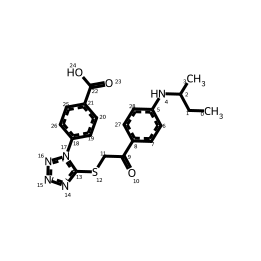 CCC(C)Nc1ccc(C(=O)CSc2nnnn2-c2ccc(C(=O)O)cc2)cc1